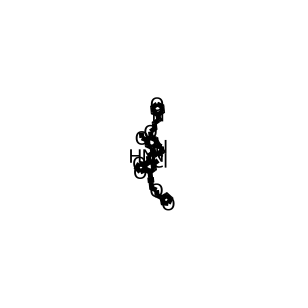 COc1cc2c(Nc3c(Cl)cc(C#CCOCC4CCOC4)c4c3OCO4)ncnc2cc1OCCCN1CCOCC1